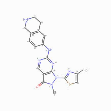 CCn1c(=O)c2cnc(Nc3ccc4c(c3)CCNC4)nc2n1-c1nc(C(C)(C)C)cs1